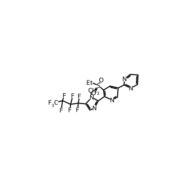 CCS(=O)(=O)c1cc(-c2ncccn2)cnc1-c1ncc(C(F)(F)C(F)(F)C(F)(F)C(F)(F)F)n1C